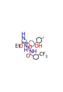 CCO[C@H]1CNC[C@@]1(NC(=O)CNC(=O)c1cccc(C(F)(F)F)c1)C1CCC(O)(c2ccc(C)cc2)CC1